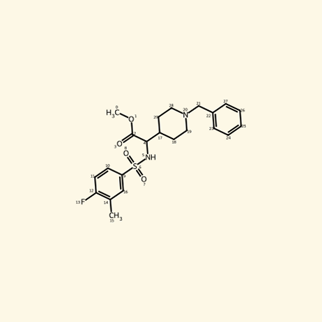 COC(=O)C(NS(=O)(=O)c1ccc(F)c(C)c1)C1CCN(Cc2ccccc2)CC1